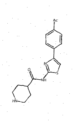 CC(=O)c1ccc(-c2csc(NC(=O)C3CCNCC3)n2)cc1